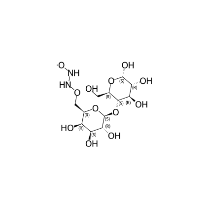 [O]NNOC[C@H]1O[C@@H](O[C@H]2[C@H](O)[C@@H](O)[C@@H](O)O[C@@H]2CO)[C@H](O)[C@@H](O)[C@H]1O